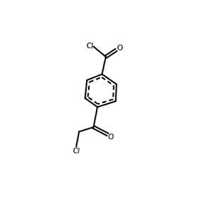 O=C(Cl)c1ccc(C(=O)CCl)cc1